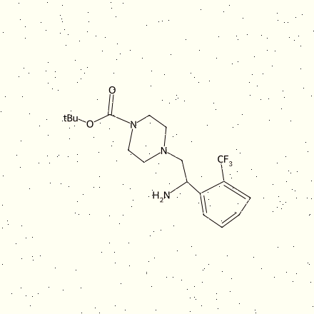 CC(C)(C)OC(=O)N1CCN(CC(N)c2ccccc2C(F)(F)F)CC1